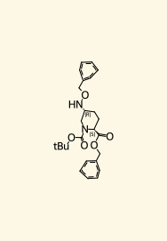 CC(C)(C)OC(=O)N1C[C@H](NOCc2ccccc2)CC[C@H]1C(=O)OCc1ccccc1